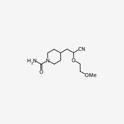 COCCOC(C#N)CC1CCN(C(N)=O)CC1